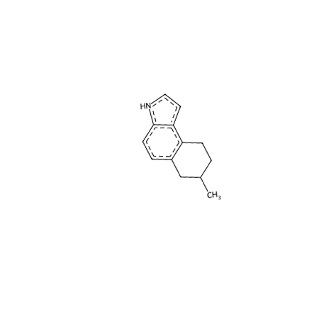 CC1CCc2c(ccc3[nH]ccc23)C1